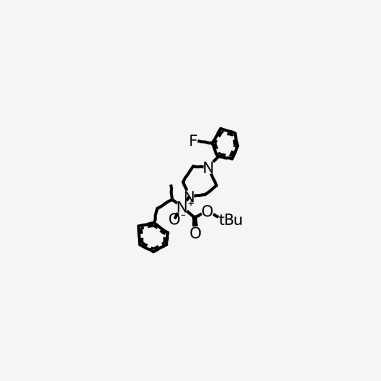 CC(Cc1ccccc1)[N+]([O-])(C(=O)OC(C)(C)C)N1CCN(c2ccccc2F)CC1